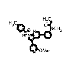 C=CC(=O)N(C)c1cccc(-c2cnc3c(c2)c(-c2ccnc(OC)c2)cn3S(=O)(=O)c2ccc(C)cc2)c1